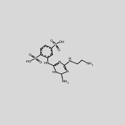 NCCNC1=NC(N)NC(Nc2cc(S(=O)(=O)O)ccc2S(=O)(=O)O)=N1